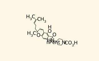 CCCCCc1cc2c(c(O)c1C(=O)NC1CCN(C(=O)O)CC1)C=CC(C)(CCC=C(C)C)O2